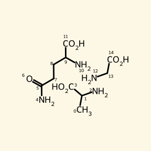 CC(N)C(=O)O.NC(=O)CCC(N)C(=O)O.NCC(=O)O